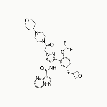 O=C(Nc1cn(CC(=O)N2CCN(C3CCOCC3)CC2)nc1-c1cc(SC2COC2)ccc1OC(F)F)c1cnn2cccnc12